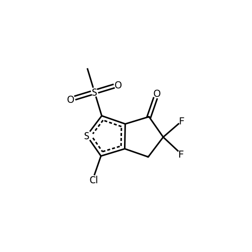 CS(=O)(=O)c1sc(Cl)c2c1C(=O)C(F)(F)C2